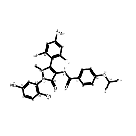 COc1cc(F)c(-c2c(NC(=O)c3ccc(OC(F)F)cc3)c(=O)n(-c3cc(C#N)ccc3C#N)n2C)c(F)c1